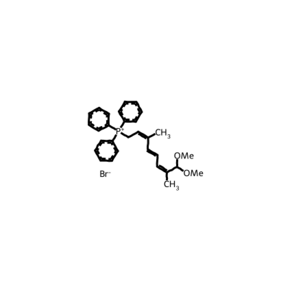 COC(OC)C(C)=CC=CC(C)=CC[P+](c1ccccc1)(c1ccccc1)c1ccccc1.[Br-]